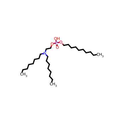 CCCCCCCCCCOP(=O)(O)OCCN(CCCCCCCC)CCCCCCCC